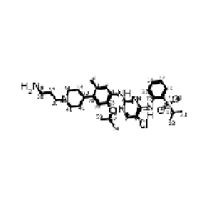 Cc1cc(Nc2ncc(Cl)c(Nc3ccccc3S(=O)(=O)C(C)C)n2)c(OC(C)C)cc1C1CCN(CCCN)CC1